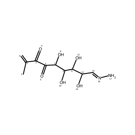 C=C(C)C(=O)C(=O)C(O)C(O)C(O)C(O)C=NN